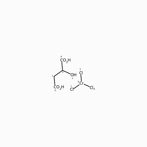 O=C(O)CC(O)C(=O)O.[Cl][Cr]([Cl])[Cl]